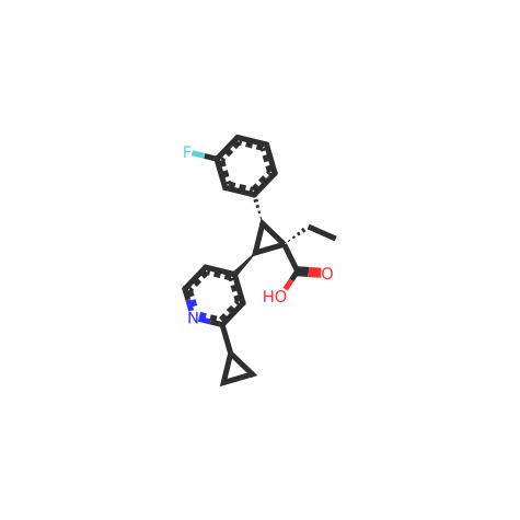 CC[C@@]1(C(=O)O)[C@@H](c2cccc(F)c2)[C@@H]1c1ccnc(C2CC2)c1